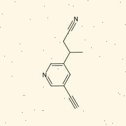 C#Cc1cncc(C(C)CC#N)c1